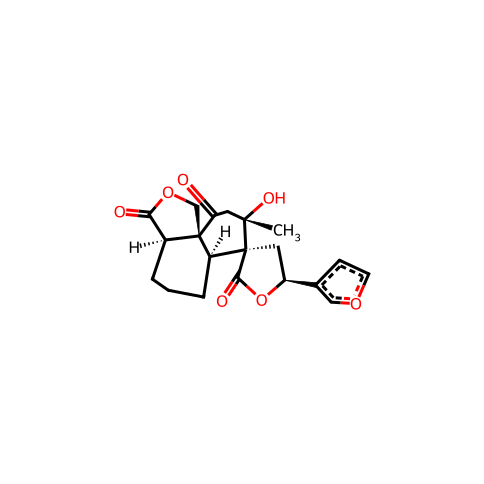 C[C@]1(O)CC(=O)[C@@]23COC(=O)[C@@H]2CCC[C@@H]3[C@@]12C[C@@H](c1ccoc1)OC2=O